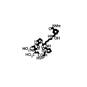 CNC(=O)c1cccc(C(O)NCCCCC(NC(=O)C2CCCN2C(=O)CCSS)C(=O)N2CCCC2C(=O)NC(CC(=O)O)C(=O)NC(CC(=O)O)C(=O)O)c1